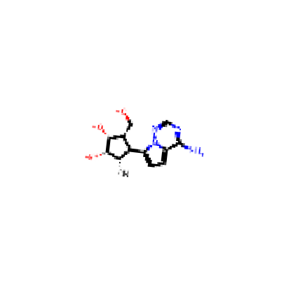 N#C[C@H]1C(c2ccc3c(N)ncnn23)[C@H](CO)[C@@H](O)[C@H]1O